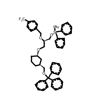 CC(C)(C)[Si](OC[C@@H](CO[C@@H]1CCC[C@H](COC(c2ccccc2)(c2ccccc2)c2ccccc2)C1)OCc1ccc(C(F)(F)F)cc1)(c1ccccc1)c1ccccc1